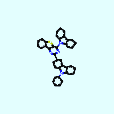 c1ccc(-n2c3ccccc3c3cc(-c4nc(-n5c6ccccc6c6ccccc65)c5sc6ccccc6c5n4)ccc32)cc1